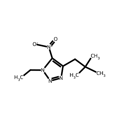 CCn1nnc(CC(C)(C)C)c1[N+](=O)[O-]